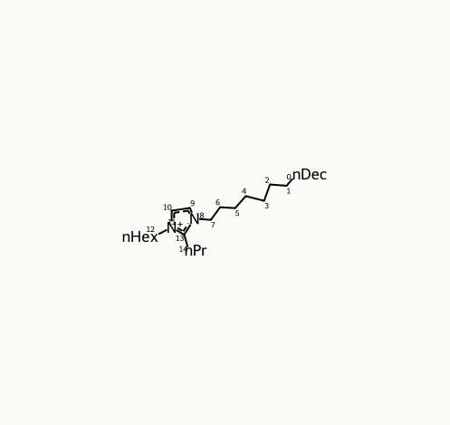 CCCCCCCCCCCCCCCCCn1cc[n+](CCCCCC)c1CCC